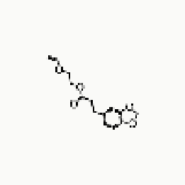 C=COCCOC(=O)CCc1ccc2c(c1)OCO2